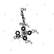 Cc1ccc(OP(=O)(Oc2ccc(C)cc2)Oc2ccc(C)cc2)cc1.O=C1OC(=O)C2CCCCC12.OCCOCCOCCO